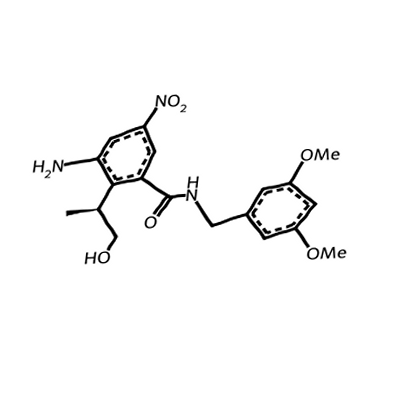 COc1cc(CNC(=O)c2cc([N+](=O)[O-])cc(N)c2[C@H](C)CO)cc(OC)c1